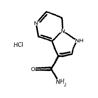 Cl.NC(=O)C1=CNN2CC=NC=C12